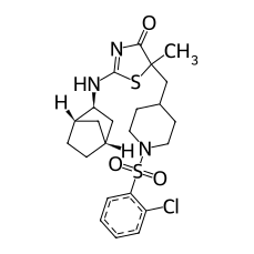 CC1(CC2CCN(S(=O)(=O)c3ccccc3Cl)CC2)SC(N[C@H]2C[C@@H]3CC[C@H]2C3)=NC1=O